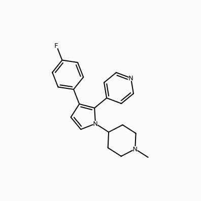 CN1CCC(n2ccc(-c3ccc(F)cc3)c2-c2ccncc2)CC1